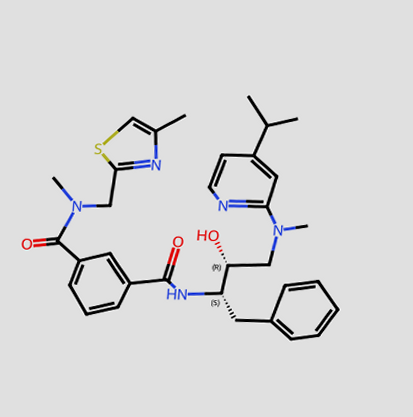 Cc1csc(CN(C)C(=O)c2cccc(C(=O)N[C@@H](Cc3ccccc3)[C@H](O)CN(C)c3cc(C(C)C)ccn3)c2)n1